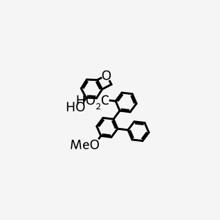 COc1ccc(-c2ccccc2C(=O)O)c(-c2ccccc2)c1.Oc1ccc2c(c1)CO2